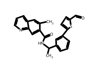 Cc1cc2cccnc2cc1C(=O)NC(C)c1cccc(-c2ccc(C=O)s2)c1